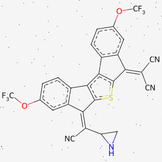 N#CC(C#N)=C1c2cc(OC(F)(F)F)ccc2-c2c1sc1c2-c2ccc(OC(F)(F)F)cc2/C1=C(\C#N)C1CN1